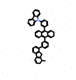 CC1CC=CC2=C1Cc1c2cccc1-c1cccc(-c2c3c(c(-c4cccc(-n5c6ccccc6c6ccccc65)c4)c4ccccc24)=CCCC=3)c1